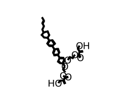 C=C(CO)C(=O)OCCOc1ccc(-c2ccc(-c3ccc(C4CCC(CC/C=C/C)CC4)cc3)cc2)cc1OCCOC(=O)C(=C)CO